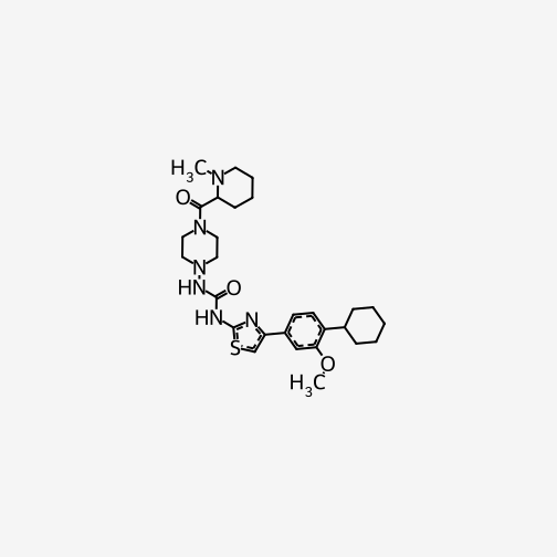 COc1cc(-c2csc(NC(=O)NN3CCN(C(=O)C4CCCCN4C)CC3)n2)ccc1C1CCCCC1